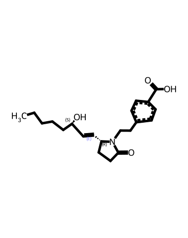 CCCCC[C@H](O)/C=C/[C@H]1CCC(=O)N1CCc1ccc(C(=O)O)cc1